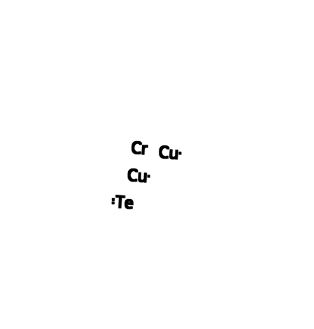 [Cr].[Cu].[Cu].[Te]